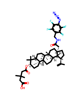 C=C(C)[C@@H]1CC[C@]2(CC(=O)NCc3c(F)c(F)c(N=[N+]=[N-])c(F)c3F)CC[C@]3(C)[C@H](CC[C@@H]4[C@@]5(C)CC[C@H](OC(=O)CC(C)(C)CC(=O)O)C(C)(C)[C@@H]5CC[C@]43C)[C@@H]12